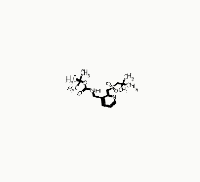 CC(C)(C)CS(=O)(=O)Cc1ncccc1CNC(=O)OC(C)(C)C